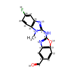 Cn1c(Nc2nc3cc(C=O)ccc3o2)nc2cc(F)ccc21